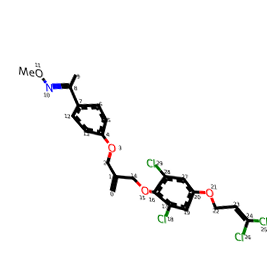 C=C(COc1ccc(C(C)=NOC)cc1)COc1c(Cl)cc(OCC=C(Cl)Cl)cc1Cl